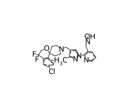 Cc1nn(-c2ncccc2C=NO)cc1CN1CCC2(CC1)OCC(F)(F)c1cc(Cl)sc12